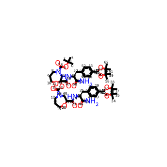 CC(C)(C)OC(=O)N1CCCO[C@@](OC(=O)N2CCCOC(C(=O)N[C@@H](Cc3ccc(B4OC(C)(C)C(C)(C)O4)cc3)C(N)=O)C2)(C(=O)N[C@@H](Cc2ccc(B3OC(C)(C)C(C)(C)O3)cc2)C(N)=O)C1